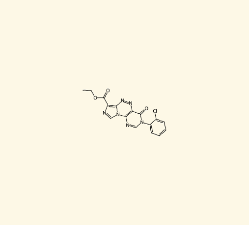 CCOC(=O)c1ncn2c1nnc1c(=O)n(-c3ccccc3Cl)cnc12